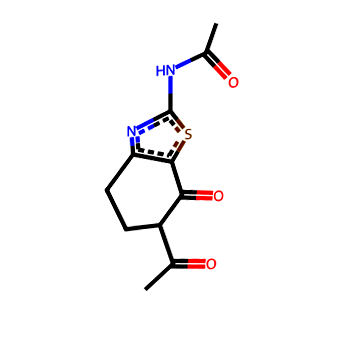 CC(=O)Nc1nc2c(s1)C(=O)C(C(C)=O)CC2